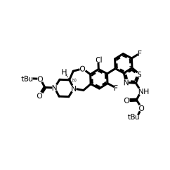 CC(C)(C)OC(=O)Nc1nc2c(-c3c(F)cc4c(c3Cl)OC[C@@H]3CN(C(=O)OC(C)(C)C)CCN3C4)ccc(F)c2s1